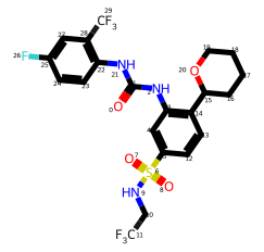 O=C(Nc1cc(S(=O)(=O)NCC(F)(F)F)ccc1C1CCCCO1)Nc1ccc(F)cc1C(F)(F)F